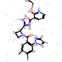 CCOc1ncccc1-c1nc(C2CCN2C(=O)c2cc(C)c(C)cc2-n2nccn2)no1